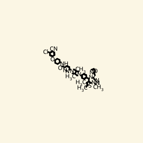 Cc1sc2c(c1C)C(c1ccc(N3C[C@@]4(C)CN(c5ccc(C(=O)NC6CCC(Oc7ccc(C#N)c(Cl)c7)CC6)nn5)C[C@@]4(C)C3)cc1)=N[C@@H](Cc1ncco1)c1nnc(C)n1-2